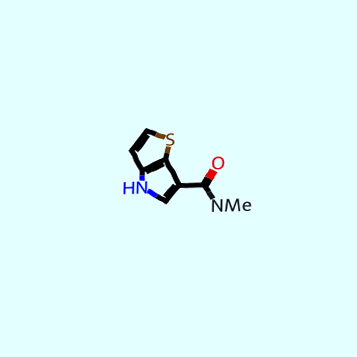 CNC(=O)c1c[nH]c2ccsc12